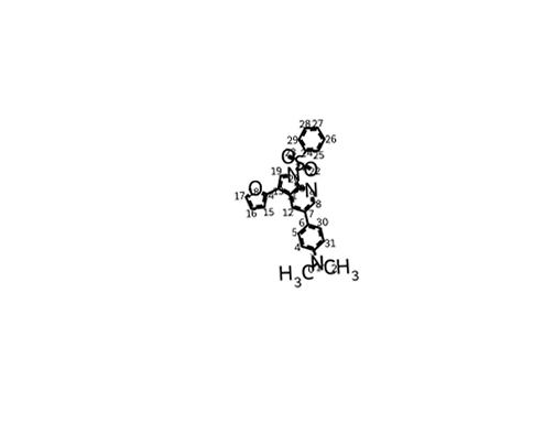 CN(C)c1ccc(-c2cnc3c(c2)c(-c2ccco2)cn3S(=O)(=O)c2ccccc2)cc1